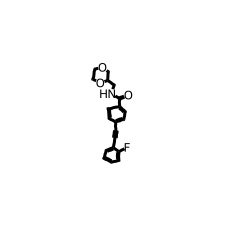 O=C(NCC1COCCO1)c1ccc(C#Cc2ccccc2F)cc1